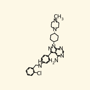 CN1CCN([C@H]2CC[C@H](n3nc(-c4ccc(NCc5ccccc5Cl)cc4)c4c(N)ncnc43)CC2)CC1